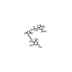 CC(C)C(=O)C(NC(=O)C(C)C(C)C)NC(O)C(=O)CSC1CC(=O)N(CCCCN[C@H]2C(O)O[C@H](CO)[C@@H](C)[C@@H]2O)C1=O